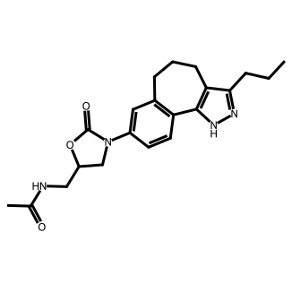 CCCc1n[nH]c2c1CCCc1cc(N3CC(CNC(C)=O)OC3=O)ccc1-2